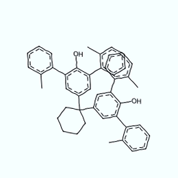 Cc1ccccc1-c1cc(C2(c3cc(-c4ccccc4C)c(O)c(-c4ccccc4C)c3)CCCCC2)cc(-c2ccccc2C)c1O